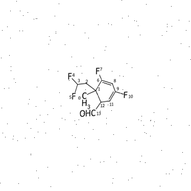 CC1(CC(F)F)C(F)=CC(F)=CC1C=O